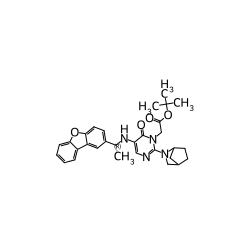 C[C@@H](Nc1cnc(N2CC3CCC2C3)n(CC(=O)OC(C)(C)C)c1=O)c1ccc2oc3ccccc3c2c1